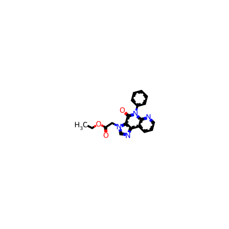 CCOC(=O)Cn1cnc2c3cccnc3n(-c3ccccc3)c(=O)c21